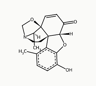 Cc1ccc(O)c2c1[C@]13CC[N@@]4CO[C@]1(C=CC(=O)[C@@H]3O2)[C@H]4C